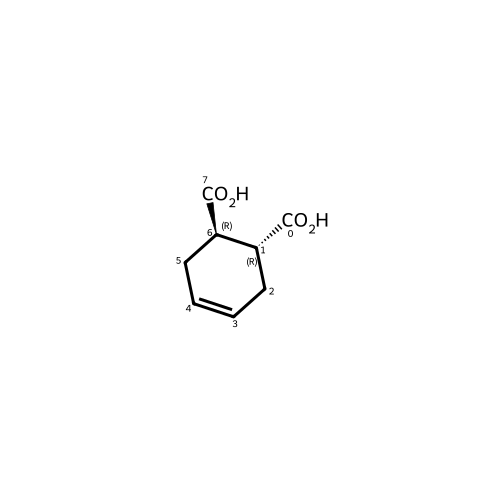 O=C(O)[C@@H]1CC=CC[C@H]1C(=O)O